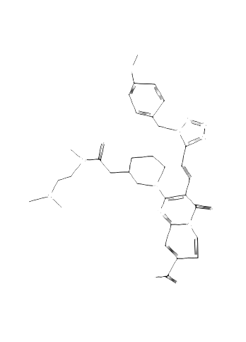 COc1ccc(Cn2nnnc2/C=C/c2c(N3CCCC(CC(=O)N(C)CCN(C)C)C3)nc3cc(C(=O)O)ccn3c2=O)cc1